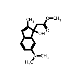 COC(=O)CC1(O)C(C)=Cc2ccc(N(C)C)cc21